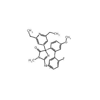 CCc1cc(C2(c3[c]cc(OC)cc3-c3ccccc3F)N=C(N)N(C)C2=O)cc(CC)n1